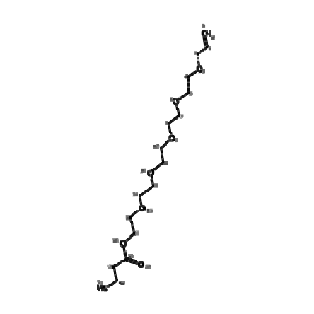 C=CCOCCOCCOCCOCCOCCOC(=O)CCS